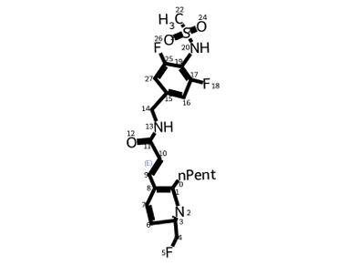 CCCCCc1nc(CF)ccc1/C=C/C(=O)NCc1cc(F)c(NS(C)(=O)=O)c(F)c1